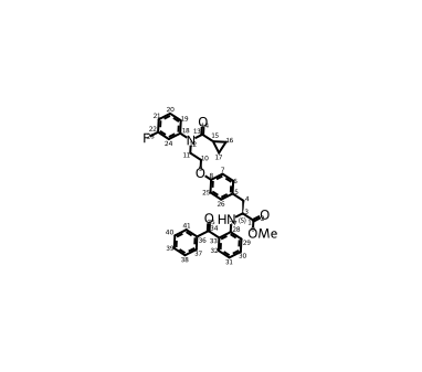 COC(=O)[C@H](Cc1ccc(OCCN(C(=O)C2CC2)c2cccc(F)c2)cc1)Nc1ccccc1C(=O)c1ccccc1